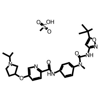 CC(C)N1CCC(Oc2ccc(C(=O)Nc3ccc(N(C)C(=O)Nc4cc(C(C)(C)C)on4)cc3)nc2)C1.CS(=O)(=O)O